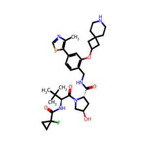 Cc1ncsc1-c1ccc(CNC(=O)[C@@H]2C[C@@H](O)CN2C(=O)[C@@H](NC(=O)C2(F)CC2)C(C)(C)C)c(OC2CC3(CCNCC3)C2)c1